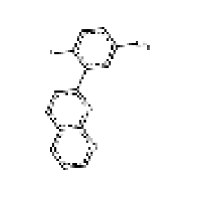 Fc1ccc(C(F)(F)F)cc1-c1ccc2cccnc2n1